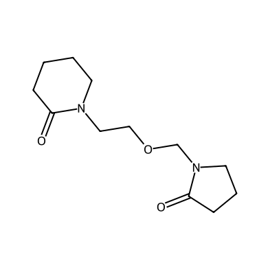 O=C1CCCCN1CCOCN1CCCC1=O